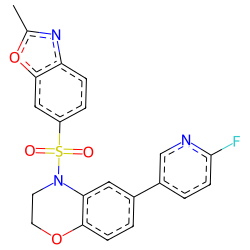 Cc1nc2ccc(S(=O)(=O)N3CCOc4ccc(-c5ccc(F)nc5)cc43)cc2o1